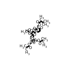 CC(=O)O[C@@H]1[C@@](CF)(COP(=O)(OCOC(=O)C(C)C)OCOC(=O)C(C)C)O[C@@H](n2ccc(=O)n(COC(=O)C(C)C(C)C)c2=O)[C@]1(C)O